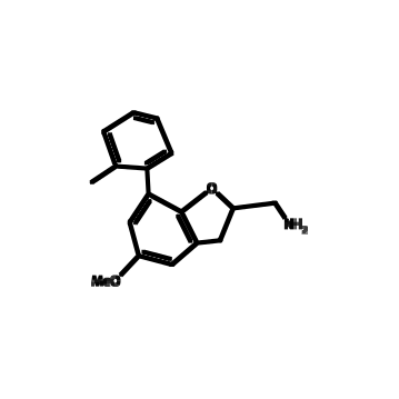 COc1cc2c(c(-c3ccccc3C)c1)OC(CN)C2